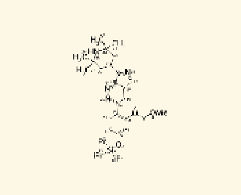 COCOc1cc(O[Si](C(C)C)(C(C)C)C(C)C)ccc1-c1cc2cnn(C3CC(C)(C)NC(C)(C)C3)c2nn1